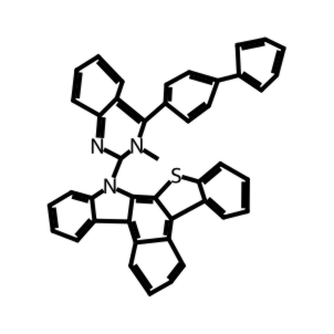 CN1C(c2ccc(-c3ccccc3)cc2)=c2ccccc2=NC1n1c2ccccc2c2c3ccccc3c3c4ccccc4sc3c21